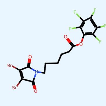 O=C(CCCCCN1C(=O)C(Br)=C(Br)C1=O)Oc1c(F)c(F)c(F)c(F)c1F